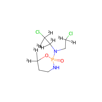 [2H]C([2H])(Cl)CN(C([2H])([2H])C([2H])([2H])Cl)P1(=O)NCCC([2H])([2H])O1